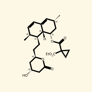 CCOC(=O)C1(C(=O)O[C@H]2C[C@@H](C)C=C3C=C[C@H](C)[C@H](CC[C@@H]4C[C@@H](O)CC(=O)O4)[C@H]32)CC1